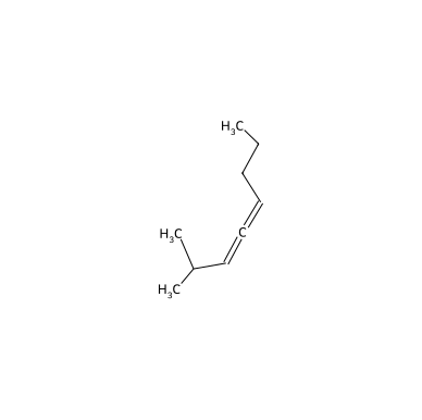 CCCC=C=CC(C)C